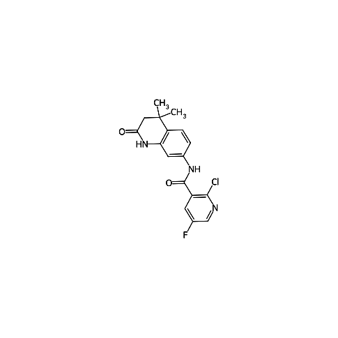 CC1(C)CC(=O)Nc2cc(NC(=O)c3cc(F)cnc3Cl)ccc21